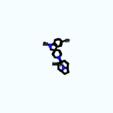 CCOC(=O)N1C2CCC(N3CCC4(CC3)CN(C(C)=O)c3ccc(C(C)C)cc34)CCC1CC2